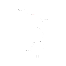 C=CCOC(C)CCC(C)C=C(C)C